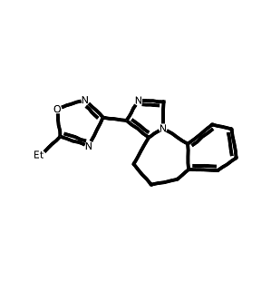 CCc1nc(-c2ncn3c2CCCc2ccccc2-3)no1